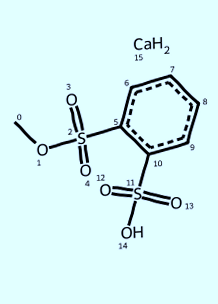 COS(=O)(=O)c1ccccc1S(=O)(=O)O.[CaH2]